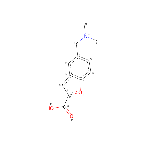 CN(C)Cc1ccc2oc(C(=O)O)cc2c1